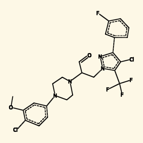 COc1cc(N2CCN(C(C=O)Cn3nc(-c4cccc(F)c4)c(Cl)c3C(F)(F)F)CC2)ccc1Cl